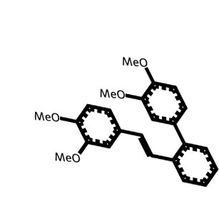 COc1ccc(C=Cc2ccccc2-c2ccc(OC)c(OC)c2)cc1OC